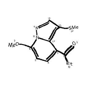 CCC(=O)c1ccc(OC)n2ncc(SC)c12